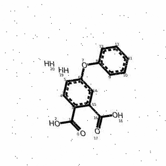 O=C(O)c1ccc(Oc2ccccc2)cc1C(=O)O.[HH].[HH]